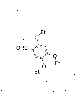 CCOc1cc(OCC)c(OCC)cc1C=O